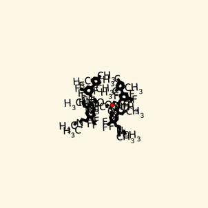 CCN(CC)CCc1cn(C(CC(C)C)C(=O)N[C@@H](CC(=O)O)c2c(F)c(-c3c(C)cc(C)cc3C)cc(C(F)(F)F)c2F)c(=O)cc1C(F)(F)F.CCOC(=O)C[C@H](NC(=O)C(CC(C)C)n1cc(CCN(CC)CC)c(C(F)(F)F)cc1=O)c1c(F)c(-c2c(C)cc(C)cc2C)cc(C(F)(F)F)c1F